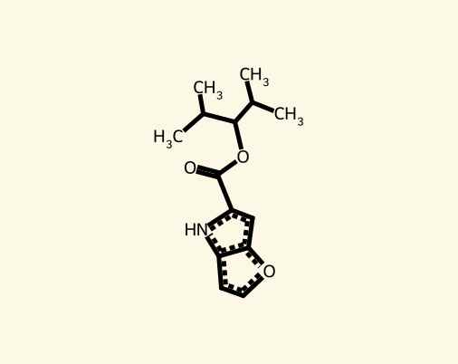 CC(C)C(OC(=O)c1cc2occc2[nH]1)C(C)C